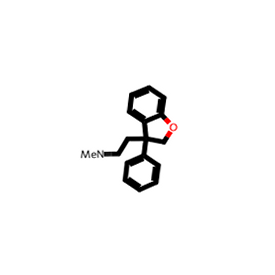 CNCCC1(c2ccccc2)COc2ccccc21